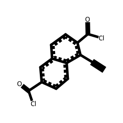 C#Cc1c(C(=O)Cl)ccc2cc(C(=O)Cl)ccc12